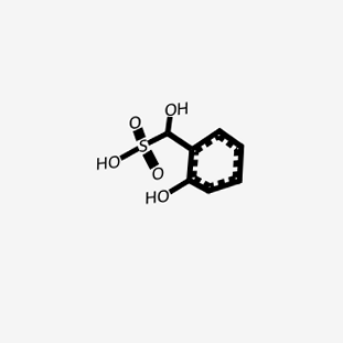 O=S(=O)(O)C(O)c1ccccc1O